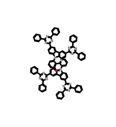 N#Cc1cccc(-n2c3ccc(-c4nc(-c5ccccc5)nc(-c5ccccc5)n4)cc3c3cc(-c4nc(-c5ccccc5)nc(-c5ccccc5)n4)ccc32)c1-c1ncccc1-n1c2ccc(-c3nc(-c4ccccc4)nc(-c4ccccc4)n3)cc2c2cc(-c3nc(-c4ccccc4)nc(-c4ccccc4)n3)ccc21